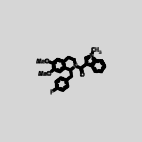 COc1cc2c(cc1OC)C(Cc1ccc(F)cc1)N(C(=O)c1cn(C)c3ccccc13)CC2